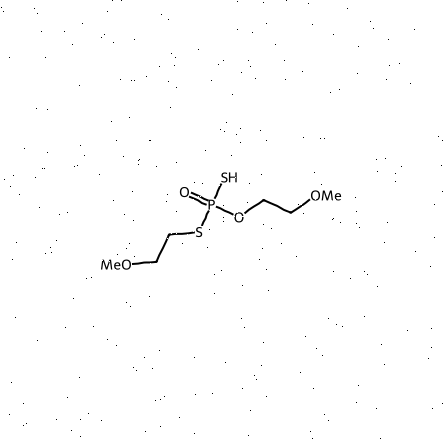 COCCOP(=O)(S)SCCOC